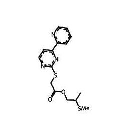 CSC(C)COC(=O)CSc1nccc(-c2ccccn2)n1